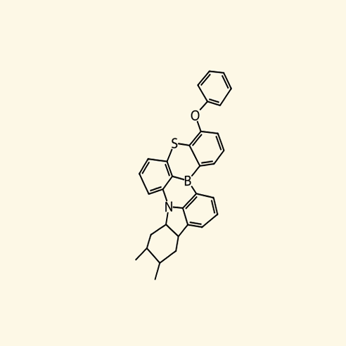 CC1CC2c3cccc4c3N(c3cccc5c3B4c3cccc(Oc4ccccc4)c3S5)C2CC1C